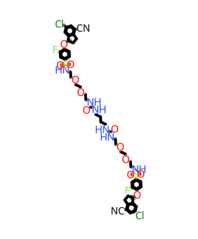 N#Cc1cc(Cl)cc2c1CC[C@H]2Oc1ccc(S(=O)(=O)NCCOCCOCCNC(=O)NCCCCNC(=O)NCCOCCOCCNS(=O)(=O)c2ccc(O[C@@H]3CCc4c(C#N)cc(Cl)cc43)c(F)c2)cc1F